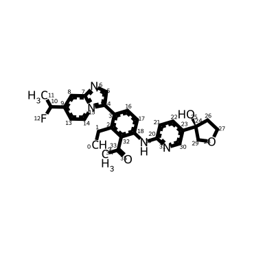 CCc1c(-c2cnc3cc(C(C)F)ccn23)ccc(Nc2ccc([C@]3(O)CCOC3)cn2)c1C(C)=O